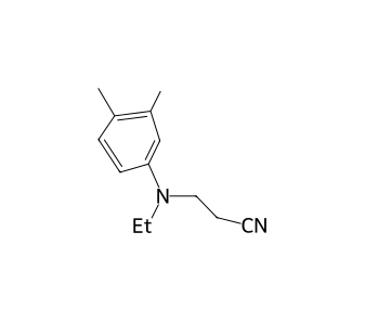 CCN(CCC#N)c1ccc(C)c(C)c1